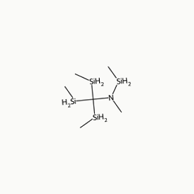 C[SiH2]N(C)C([SiH2]C)([SiH2]C)[SiH2]C